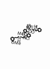 COc1cccc(CCCNCCCOc2cccc([C@H]3O[C@H](CC(=O)NCc4ccccc4F)C(=O)N(CC(C)(C)C)c4ccc(Cl)cc43)c2OC)c1.Cl